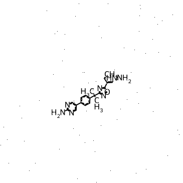 C=C/C(=C\NN)c1nc(C(C)(C)c2ccc(-c3cnc(N)nc3)cc2)no1